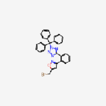 BrCc1cc(-c2ccccc2-c2nnn(C(c3ccccc3)(c3ccccc3)c3ccccc3)n2)no1